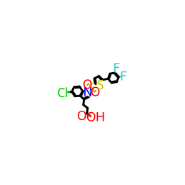 O=C(O)CCc1cn(S(=O)(=O)c2ccc(-c3ccc(F)c(F)c3)s2)c2ccc(Cl)cc12